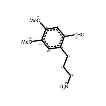 COc1cc(C=O)c(CCC[N+](=O)[O-])cc1OC